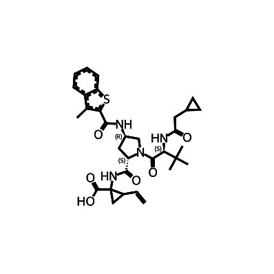 C=CC1CC1(NC(=O)[C@@H]1C[C@@H](NC(=O)c2sc3ccccc3c2C)CN1C(=O)[C@@H](NC(=O)CC1CC1)C(C)(C)C)C(=O)O